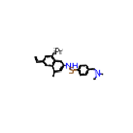 C=Cc1cc(C(C)C)c2c(c1)C(C)C=C(NSc1ccc(CN(C)C)cc1)C2